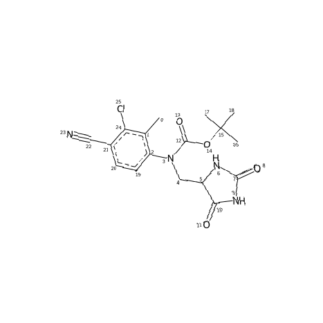 Cc1c(N(CC2NC(=O)NC2=O)C(=O)OC(C)(C)C)ccc(C#N)c1Cl